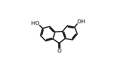 O=C1c2ccc(O)cc2-c2cc(O)ccc21